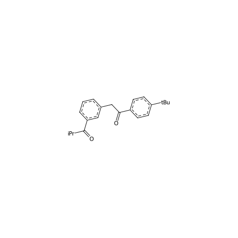 CC(C)C(=O)c1cccc(CC(=O)c2ccc(C(C)(C)C)cc2)c1